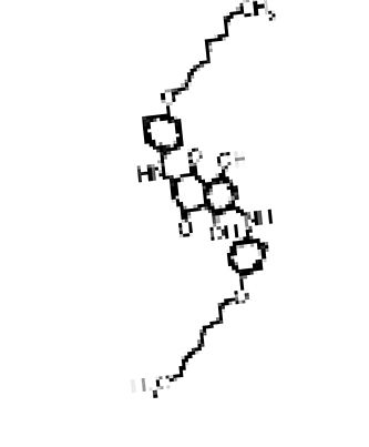 CCCCCCCOc1ccc(NC2=CC(=O)c3c(O)c(Nc4ccc(OCCCCCCC)cc4)cc(O)c3C2=O)cc1